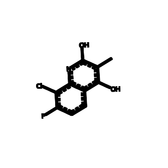 Cc1c(O)nc2c(Cl)c(F)ccc2c1O